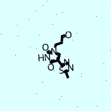 Cc1nnc(-c2cn(CCC=O)c(=O)[nH]c2=O)s1